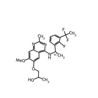 COc1cc2nc(C)nc(N[C@H](C)c3cccc(C(C)(F)F)c3F)c2cc1OCC(C)O